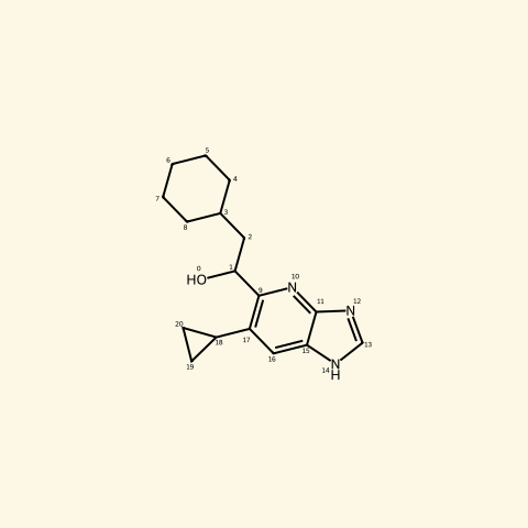 OC(CC1CCCCC1)c1nc2nc[nH]c2cc1C1CC1